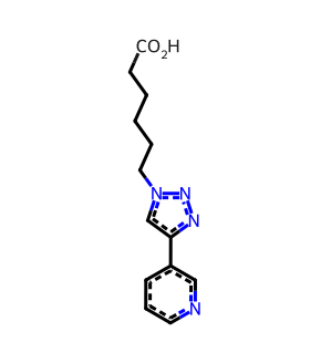 O=C(O)CCCCCn1cc(-c2cccnc2)nn1